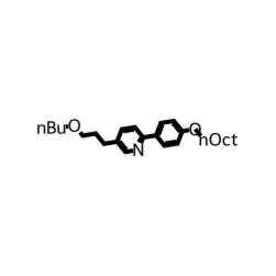 CCCCCCCCOc1ccc(-c2ccc(CCCOCCCC)cn2)cc1